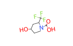 O=C(O)N1CCC(O)CC1C(F)(F)F